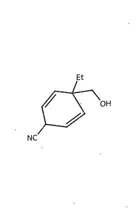 CCC1(CO)C=CC(C#N)C=C1